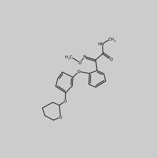 CNC(=O)/C(=N/OC)c1ccccc1Oc1cccc(OC2CCCCO2)c1